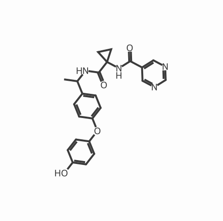 CC(NC(=O)C1(NC(=O)c2cncnc2)CC1)c1ccc(Oc2ccc(O)cc2)cc1